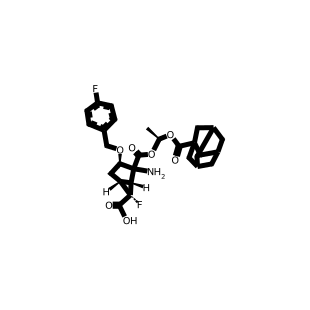 C[C@@H](OC(=O)C12CC3CC(CC(C3)C1)C2)OC(=O)C1(N)[C@H]2[C@@H](C[C@H]1OCc1ccc(F)cc1)[C@]2(F)C(=O)O